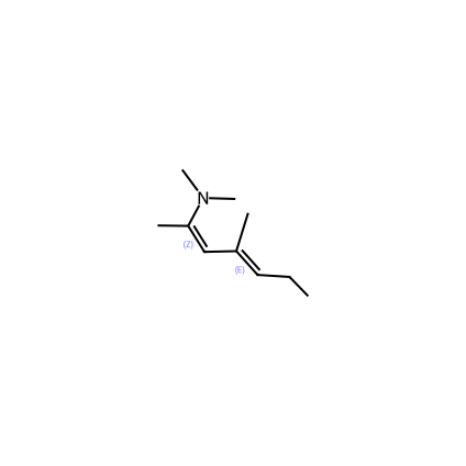 CC/C=C(C)/C=C(/C)N(C)C